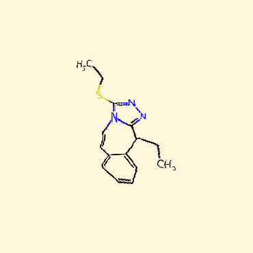 CCSc1nnc2n1C=Cc1ccccc1C2CC